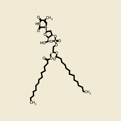 CCCCCCCCCCCCCC(=O)OC[C@H](COP(=O)(O)O[C@H]1C[C@H](n2cc(C)c(=O)[nH]c2=O)O[C@@H]1CO)OC(=O)CCCCCCCCCCCCC